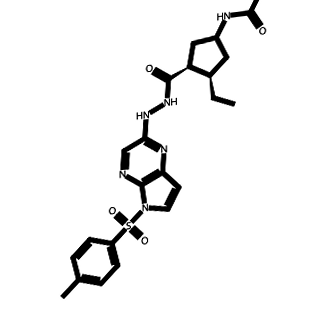 CC[C@@H]1CC(NC(C)=O)C[C@@H]1C(=O)NNc1cnc2c(ccn2S(=O)(=O)c2ccc(C)cc2)n1